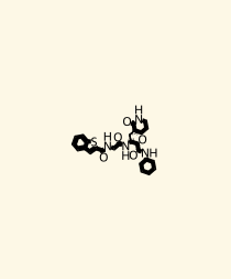 O=C(CNC(=O)c1cc2ccccc2s1)N[C@@H](C[C@@H]1CCCNC1=O)C(=O)C(=O)NC1CCCCC1